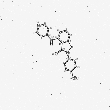 CC(C)(C)c1ccc(N2Cc3cccc(Nc4ccncc4)c3C2=O)cc1